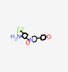 COc1ccc(C2CCN(C(=O)c3ccc(C(F)(F)F)c(N)c3)CC2)cc1